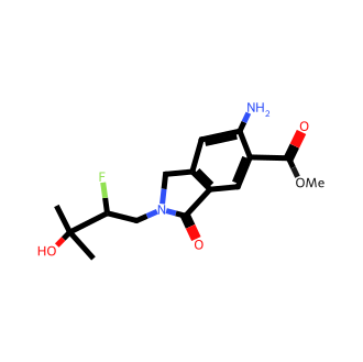 COC(=O)c1cc2c(cc1N)CN(CC(F)C(C)(C)O)C2=O